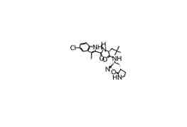 Cc1c(C(=O)N[C@@H](CC(C)(C)C)C(=O)N[C@H](C#N)C[C@@H]2CCNC2=O)[nH]c2ccc(Cl)cc12